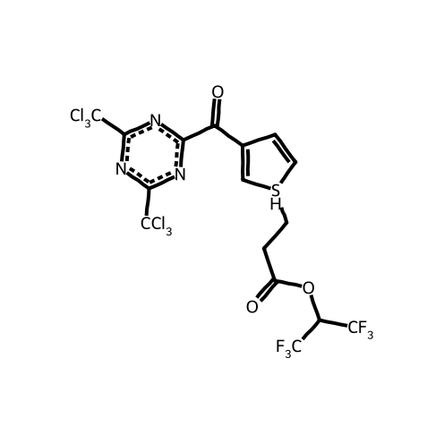 O=C(CC[SH]1C=CC(C(=O)c2nc(C(Cl)(Cl)Cl)nc(C(Cl)(Cl)Cl)n2)=C1)OC(C(F)(F)F)C(F)(F)F